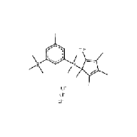 CC1=C(C)C(C)([Si](C)(C)c2cc(C)cc([Si](C)(C)C)c2)[C]([Ti+3])=C1C.[Cl-].[Cl-].[Cl-]